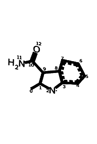 CC1[N]c2ccccc2C1C(N)=O